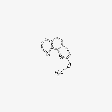 COc1ccc2ccc3cccnc3c2n1